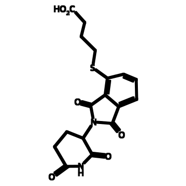 O=C(O)CCCSc1cccc2c1C(=O)N(C1CCC(=O)NC1=O)C2=O